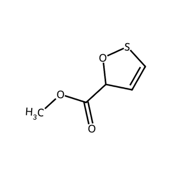 COC(=O)C1C=CSO1